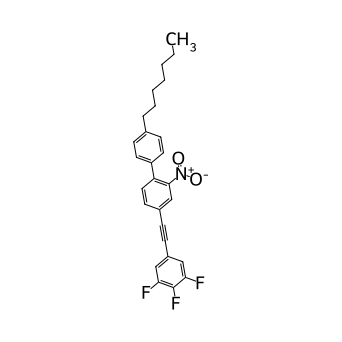 CCCCCCCc1ccc(-c2ccc(C#Cc3cc(F)c(F)c(F)c3)cc2[N+](=O)[O-])cc1